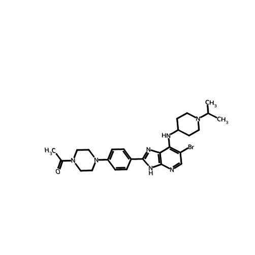 CC(=O)N1CCN(c2ccc(-c3nc4c(NC5CCN(C(C)C)CC5)c(Br)cnc4[nH]3)cc2)CC1